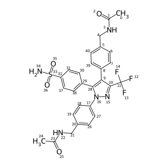 CC(=O)NCc1ccc(-c2c(C(F)(F)F)nn(-c3ccc(CNC(C)=O)cc3)c2-c2ccc(S(N)(=O)=O)cc2)cc1